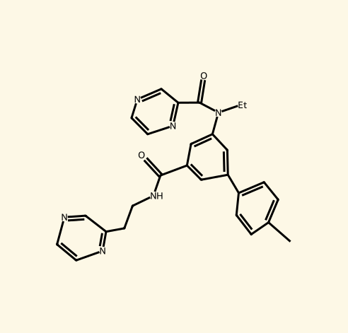 CCN(C(=O)c1cnccn1)c1cc(C(=O)NCCc2cnccn2)cc(-c2ccc(C)cc2)c1